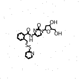 O=C(Nc1ccn(C2CC(O)C(CO)O2)c(=O)n1)c1ccccc1CSSc1ccccn1